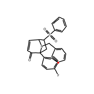 O=C1C=CC2C(S(=O)(=O)c3ccccc3)CC1(c1ccc(F)cc1)N2Cc1ccccc1